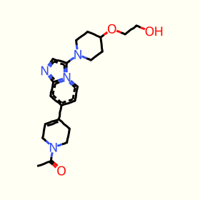 CC(=O)N1CC=C(c2ccn3c(N4CCC(OCCO)CC4)cnc3c2)CC1